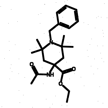 CCOC(=O)C1(NC(C)=O)CC(C)(C)N(Cc2ccccc2)C(C)(C)C1